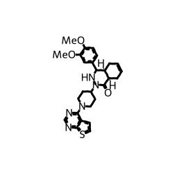 COc1ccc(C2NN(C3CCN(c4ncnc5sccc45)CC3)C(=O)[C@@H]3CC=CC[C@H]23)cc1OC